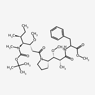 CC[C@H](C)[C@@H]([C@@H](CC(=O)N1CCC[C@H]1[C@H](OC)[C@@H](C)C(=O)NC(Cc1ccccc1)C(=O)OC)OC)N(C)C(=O)OC(C)(C)C